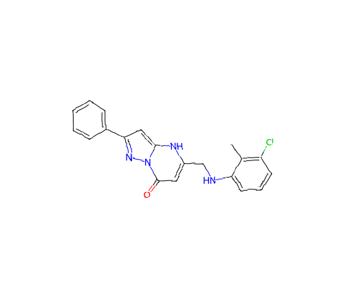 Cc1c(Cl)cccc1NCc1cc(=O)n2nc(-c3ccccc3)cc2[nH]1